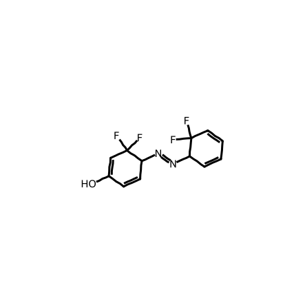 OC1=CC(F)(F)C(/N=N/C2C=CC=CC2(F)F)C=C1